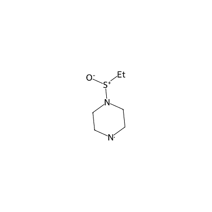 CC[S+]([O-])N1CC[N]CC1